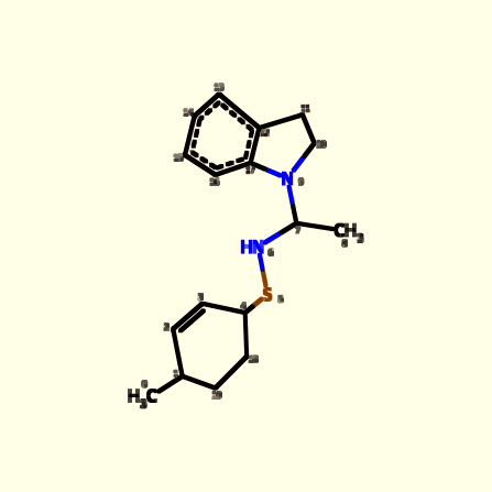 CC1C=CC(SNC(C)N2CCc3ccccc32)CC1